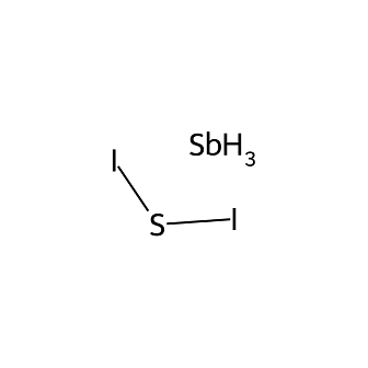 ISI.[SbH3]